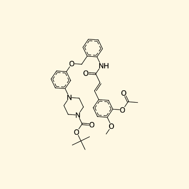 COc1ccc(C=CC(=O)Nc2ccccc2COc2cccc(N3CCN(C(=O)OC(C)(C)C)CC3)c2)cc1OC(C)=O